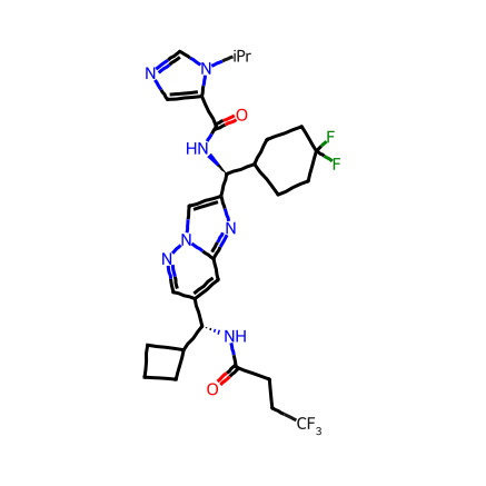 CC(C)n1cncc1C(=O)N[C@H](c1cn2ncc([C@H](NC(=O)CCC(F)(F)F)C3CCC3)cc2n1)C1CCC(F)(F)CC1